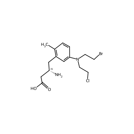 Cc1ccc(N(CCCl)CCBr)cc1C[C@H](N)CC(=O)O